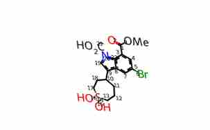 COC(=O)c1cc(Br)cc2c(C3CCCS(O)(O)CC3)cn(C(=O)O)c12